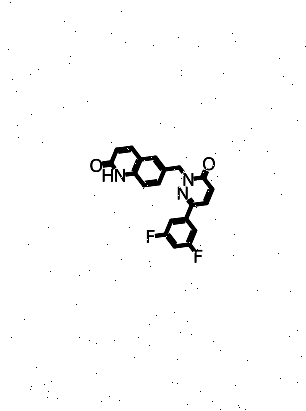 O=c1ccc2cc(Cn3nc(-c4cc(F)cc(F)c4)ccc3=O)ccc2[nH]1